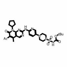 CC(=O)c1c(C)c2cnc(Nc3ccc(N4CCN(S(=O)(=O)NC(=O)OC(C)(C)C)CC4)cn3)nc2n(C2CCCC2)c1=O